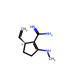 C=C[C@@H]1CCC(NC)=C1C(=N)N